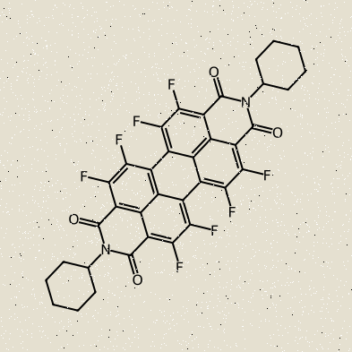 O=C1c2c(F)c(F)c3c4c(F)c(F)c5c6c(c(F)c(F)c(c7c(F)c(F)c(c2c37)C(=O)N1C1CCCCC1)c64)C(=O)N(C1CCCCC1)C5=O